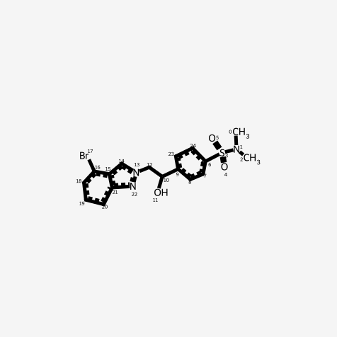 CN(C)S(=O)(=O)c1ccc(C(O)Cn2cc3c(Br)cccc3n2)cc1